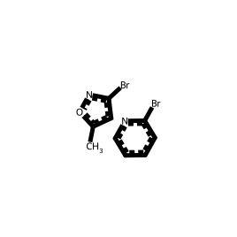 Brc1ccccn1.Cc1cc(Br)no1